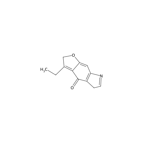 CCC1=C2C(=O)C3=C(C=C2OC1)N=CC3